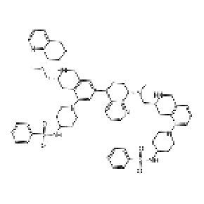 CN(C[C@H]1Cc2c(cc(C3CC[C@H](N(C)C[C@@H]4Cc5c(cccc5N5CCC(NS(=O)(=O)c6ccccc6)CC5)CN4)c4ncccc43)cc2N2CCC(NS(=O)(=O)c3ccccc3)CC2)CN1)[C@H]1CCCc2cccnc21